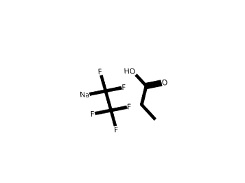 CCC(=O)O.FC(F)(F)[C](F)(F)[Na]